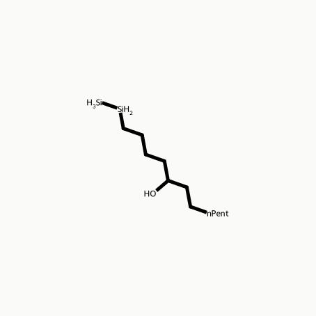 CCCCCCCC(O)CCCC[SiH2][SiH3]